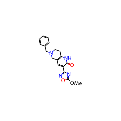 COc1nc(-c2cc3c([nH]c2=O)CCN(Cc2ccccc2)C3)no1